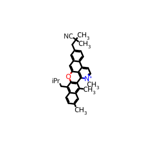 Cc1ccc2c(CC(C)C)c3c(c(C)c2c1)-c1c2c(cc4cc(CC(C)(C)C#N)ccc4c2cc[n+]1C)O3